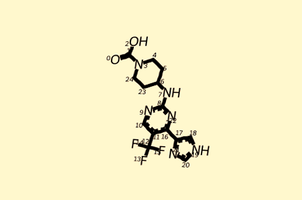 O=C(O)N1CCC(Nc2ncc(C(F)(F)F)c(-c3c[nH]cn3)n2)CC1